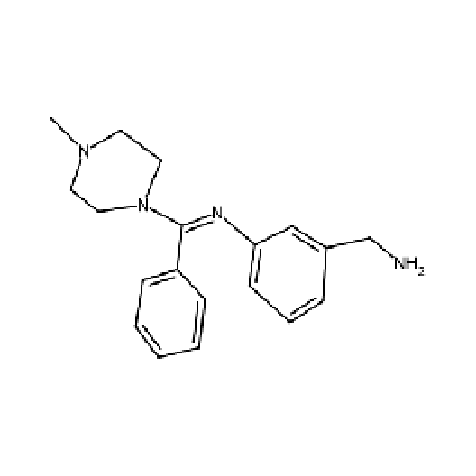 CN1CCN(C(=Nc2cccc(CN)c2)c2ccccc2)CC1